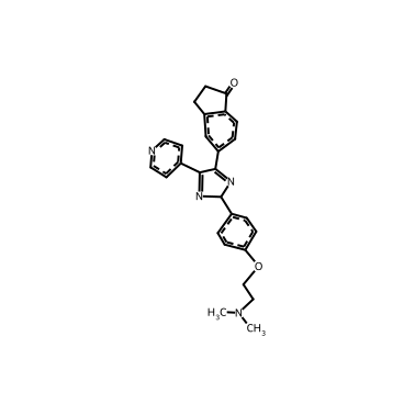 CN(C)CCOc1ccc(C2N=C(c3ccncc3)C(c3ccc4c(c3)CCC4=O)=N2)cc1